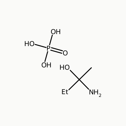 CCC(C)(N)O.O=P(O)(O)O